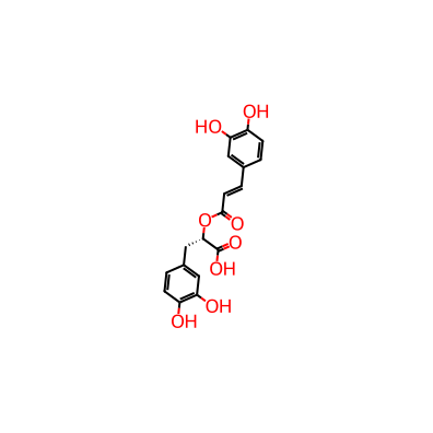 O=C(/C=C/c1ccc(O)c(O)c1)O[C@@H](Cc1ccc(O)c(O)c1)C(=O)O